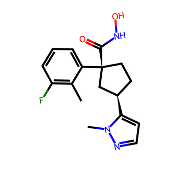 Cc1c(F)cccc1[C@]1(C(=O)NO)CC[C@@H](c2ccnn2C)C1